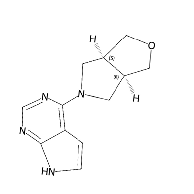 c1nc(N2C[C@H]3COC[C@H]3C2)c2cc[nH]c2n1